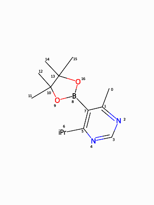 Cc1ncnc(C(C)C)c1B1OC(C)(C)C(C)(C)O1